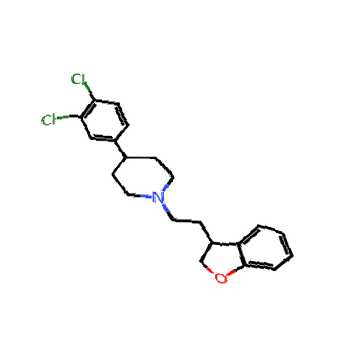 Clc1ccc(C2CCN(CCC3COc4ccccc43)CC2)cc1Cl